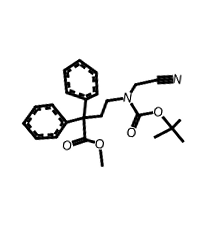 COC(=O)C(CCN(CC#N)C(=O)OC(C)(C)C)(c1ccccc1)c1ccccc1